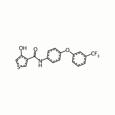 O=C(Nc1ccc(Oc2cccc(C(F)(F)F)c2)cc1)c1cscc1O